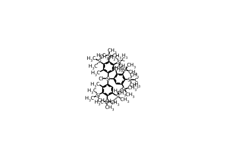 Cc1c([Si](Cl)(c2cc([Si](C)(C)C)c([Si](C)(C)C)c([Si](C)(C)C)c2C)c2cc([Si](C)(C)C)c([Si](C)(C)C)c([Si](C)(C)C)c2C)cc([Si](C)(C)C)c([Si](C)(C)C)c1[Si](C)(C)C